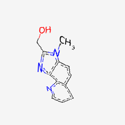 Cn1c(CO)nc2c3ncccc3ccc21